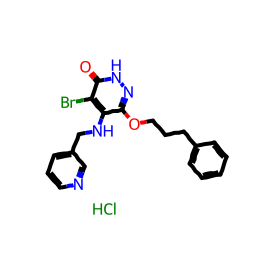 Cl.O=c1[nH]nc(OCCCc2ccccc2)c(NCc2cccnc2)c1Br